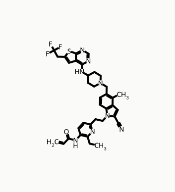 C=CC(=O)Nc1ccc(CCn2c(C#N)cc3c(C)c(CN4CCC(Nc5ncnc6sc(CC(F)(F)F)cc56)CC4)ccc32)nc1CC